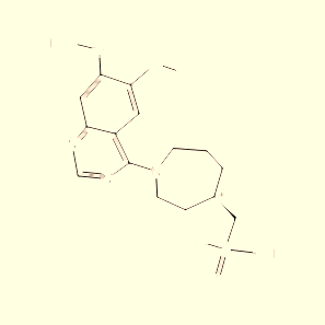 COc1cc2ncnc(N3CCC[C@@H](CP(=O)(O)O)CC3)c2cc1OC